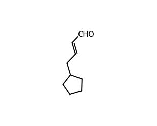 O=C/C=C/CC1CCCC1